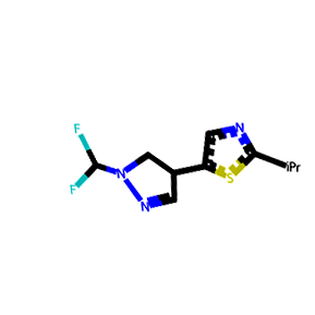 CC(C)c1ncc(C2C=NN(C(F)F)C2)s1